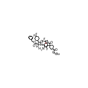 CC(C)(C)OC(=O)N1CCC(C(=O)N2CC(F)(F)C2)(c2ccc(NC(=O)C(NC(=O)OCc3ccccc3)C3CCC(F)(F)CC3)c(N)c2F)CC1